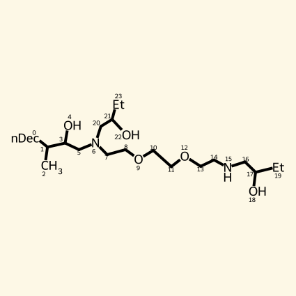 CCCCCCCCCCC(C)C(O)CN(CCOCCOCCNCC(O)CC)CC(O)CC